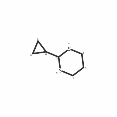 C1CSC(C2CC2)SC1